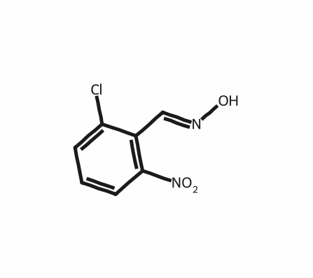 O=[N+]([O-])c1cccc(Cl)c1C=NO